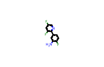 Nc1cc(-c2ncc(F)cc2F)ccc1F